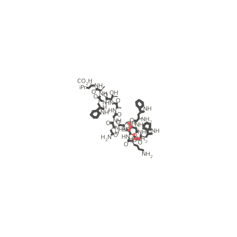 CC(C)C[C@@H](NC(=O)[C@@H](C)NC(=O)[C@@H](Cc1c[nH]c2ccccc12)NC(=O)[C@H](NC(=O)[C@@H](C)NC(=O)CNC(=O)[C@@H](CC(N)=O)NC(=O)[C@@H](CO)NC(=O)[C@@H](CC(N)=O)NC(=O)[C@H](CCCCN)NC(=O)[C@H](Cc1c[nH]c2ccccc12)NC(=O)[C@@H](NC(=O)[C@@H](N)Cc1c[nH]c2ccccc12)[C@@H](C)O)[C@H](C)O)C(=O)O